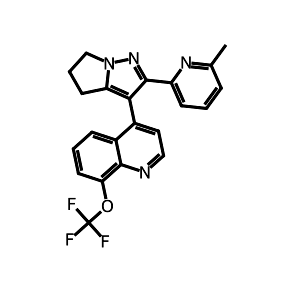 Cc1cccc(-c2nn3c(c2-c2ccnc4c(OC(F)(F)F)cccc24)CCC3)n1